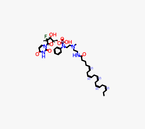 CC/C=C\C/C=C\C/C=C\C/C=C\C/C=C\CCCC(=O)NCCN(C)CCN(c1ccccc1)P(=O)(O)OC[C@H]1O[C@@H](n2ccc(=O)[nH]c2=O)[C@](C)(F)[C@@H]1O